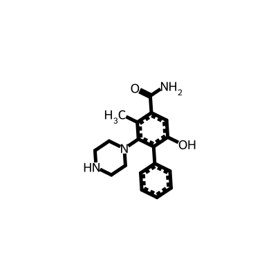 Cc1c(C(N)=O)cc(O)c(-c2ccccc2)c1N1CCNCC1